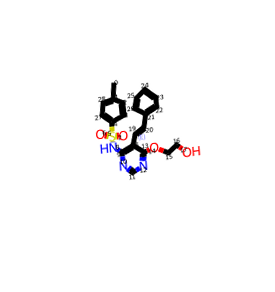 Cc1ccc(S(=O)(=O)Nc2ncnc(OCCO)c2/C=C/c2ccccc2)cc1